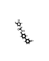 CC1C[C@@H](CC(=O)NCc2ccc(-c3cccc(I)c3)cc2)CN1